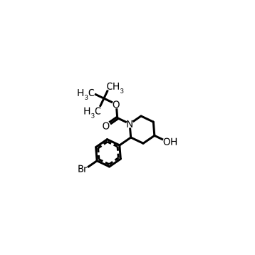 CC(C)(C)OC(=O)N1CCC(O)CC1c1ccc(Br)cc1